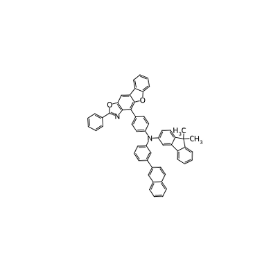 CC1(C)c2ccccc2-c2cc(N(c3ccc(-c4c5nc(-c6ccccc6)oc5cc5c4oc4ccccc45)cc3)c3cccc(-c4ccc5ccccc5c4)c3)ccc21